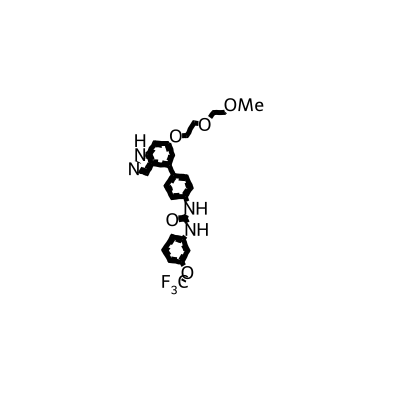 COCCOCCOc1cc(-c2ccc(NC(=O)Nc3cccc(OC(F)(F)F)c3)cc2)c2cn[nH]c2c1